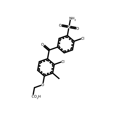 Cc1c(OCC(=O)O)ccc(C(=O)c2ccc(Cl)c(S(N)(=O)=O)c2)c1Cl